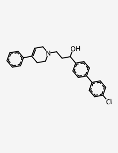 OC(CCN1CC=C(c2ccccc2)CC1)c1ccc(-c2ccc(Cl)cc2)cc1